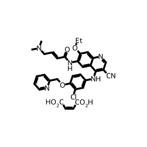 CCOc1cc2ncc(C#N)c(Nc3ccc(OCc4ccccn4)c(Cl)c3)c2cc1NC(=O)C=CCN(C)C.O=C(O)/C=C\C(=O)O